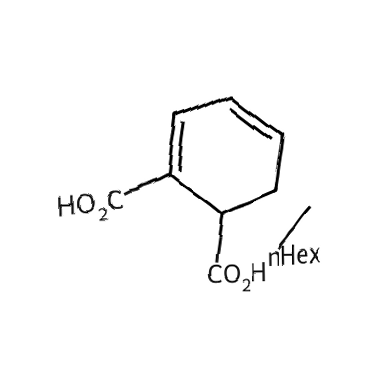 CCCCCCC.O=C(O)C1=CC=CCC1C(=O)O